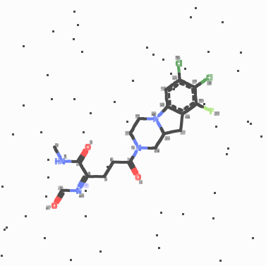 CNC(=O)/C(CCC(=O)N1CCN2c3cc(Cl)c(Cl)c(F)c3CC2C1)=N\C=O